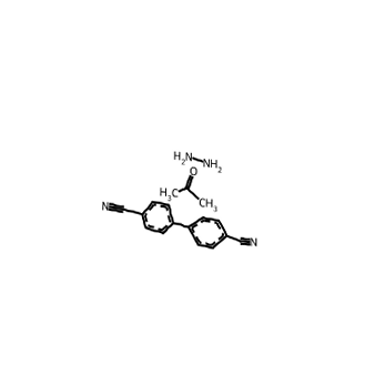 CC(C)=O.N#Cc1ccc(-c2ccc(C#N)cc2)cc1.NN